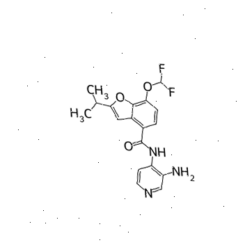 CC(C)c1cc2c(C(=O)Nc3ccncc3N)ccc(OC(F)F)c2o1